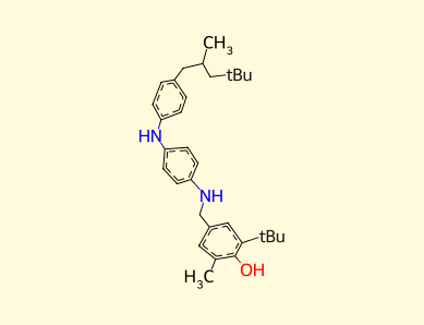 Cc1cc(CNc2ccc(Nc3ccc(CC(C)CC(C)(C)C)cc3)cc2)cc(C(C)(C)C)c1O